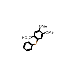 COc1cc(Sc2ccccc2)c(C(=O)O)cc1OC